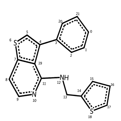 c1ccc(-c2csc3ccnc(NCc4cccs4)c23)cc1